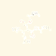 C#CC(C)C(C(=O)OCC)C(=O)OCC